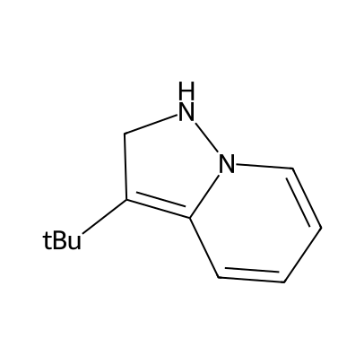 CC(C)(C)C1=C2C=CC=CN2NC1